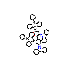 c1ccc(B2c3ccccc3B(c3ccc(-c4ccc(-n5c6ccccc6c6ccccc65)cc4B4c5ccccc5B(c5ccccc5)c5ccccc54)c(-n4c5ccccc5c5ccccc54)c3)c3ccccc32)cc1